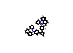 c1ccc(N(c2ccc(C3=C(c4ccc(N(c5ccccc5)c5cccc6ccccc56)cc4)CCC3)cc2)c2cccc3ccccc23)cc1